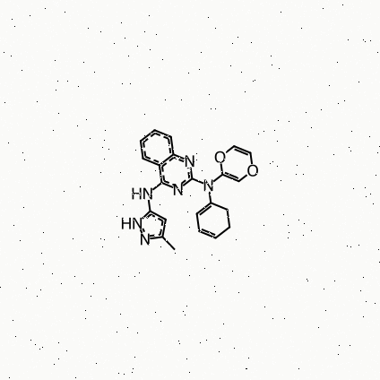 Cc1cc(Nc2nc(N(C3=CC=CCC3)C3=COC=CO3)nc3ccccc23)[nH]n1